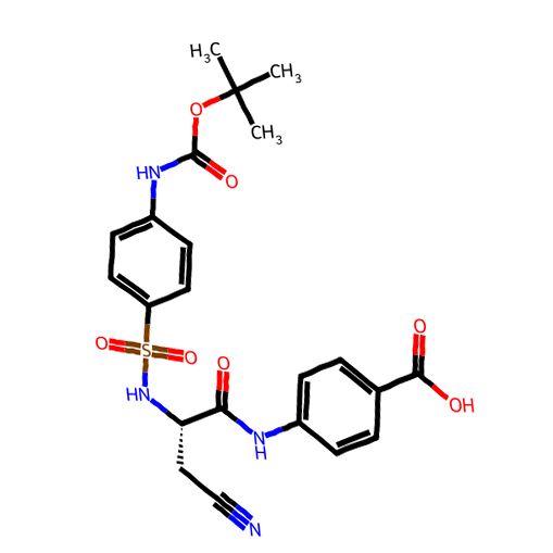 CC(C)(C)OC(=O)Nc1ccc(S(=O)(=O)N[C@@H](CC#N)C(=O)Nc2ccc(C(=O)O)cc2)cc1